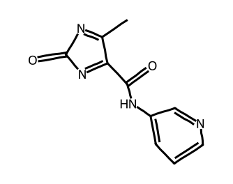 CC1=NC(=O)N=C1C(=O)Nc1cccnc1